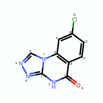 O=c1[nH]c2nncn2c2cc(Cl)ccc12